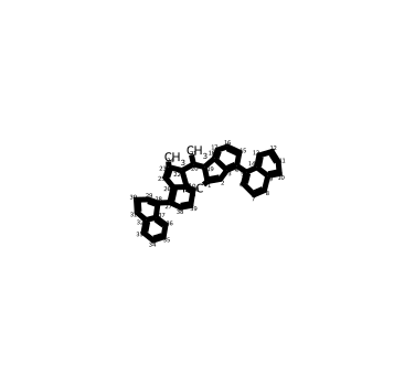 CC1=Cc2c(-c3cccc4ccccc34)cccc2C1C(C)C1C(C)=Cc2c(-c3cccc4ccccc34)cccc21